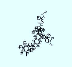 CCCC(=O)SCCOP(=O)(OCOC(=O)OC(C)C)C(F)(F)c1ccc2ccc(C(=O)Oc3c(F)c(F)c(F)c(F)c3F)cc2c1